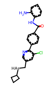 Nc1ccccc1NC(=O)c1ccc(-c2ncc(C[AsH]C3CCC3)cc2Cl)cc1